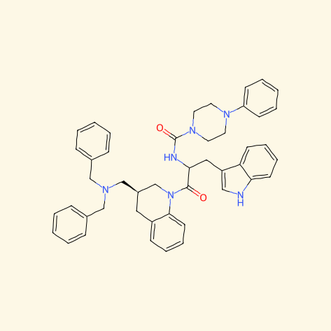 O=C(NC(Cc1c[nH]c2ccccc12)C(=O)N1C[C@H](CN(Cc2ccccc2)Cc2ccccc2)Cc2ccccc21)N1CCN(c2ccccc2)CC1